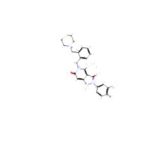 Cc1c2c(=O)n(-c3ccc(F)c(Cl)c3)[nH]c2cc(=O)n1Cc1ccccc1CN1CCOCC1